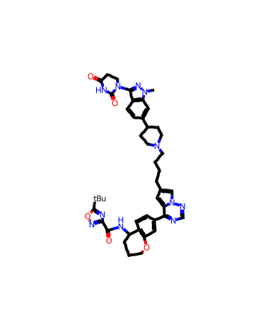 Cn1nc(N2CCC(=O)NC2=O)c2ccc(C3CCN(CCCCc4cc5c(-c6ccc7c(c6)OCCCC7NC(=O)c6noc(C(C)(C)C)n6)ncnn5c4)CC3)cc21